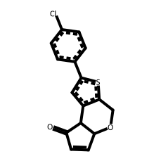 O=C1C=CC2OCc3sc(-c4ccc(Cl)cc4)cc3C12